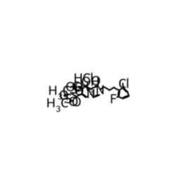 CC(C(=O)c1cn2ccn(CCCc3c(F)cccc3Cl)c(=O)c2c(O)c1=O)(S(C)(=O)=O)S(C)(=O)=O.Cl